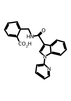 O=C(O)c1ccccc1CNC(=O)c1cn(-c2ccccn2)c2ccccc12